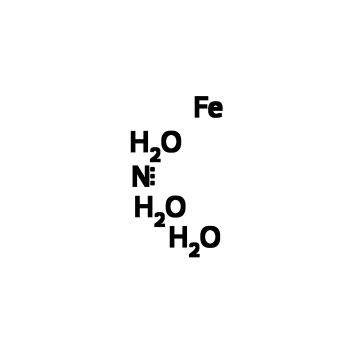 O.O.O.[Fe].[N]